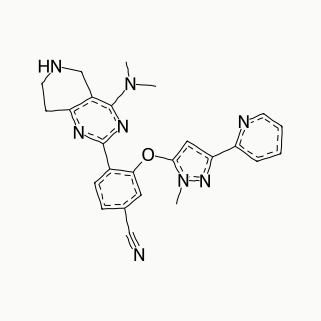 CN(C)c1nc(-c2ccc(C#N)cc2Oc2cc(-c3ccccn3)nn2C)nc2c1CNCC2